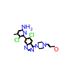 Cc1cc(N)nc(-c2cc3ncnc(N4CCN(C=CC=O)CC4)c3cc2Cl)c1Cl